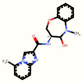 CN1c2ccccc2OC[C@H](NC(=O)c2cn3c(C(F)(F)F)cccc3n2)C1O